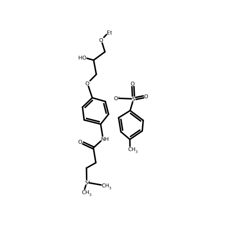 CCOCC(O)COc1ccc(NC(=O)CC[S+](C)C)cc1.Cc1ccc(S(=O)(=O)[O-])cc1